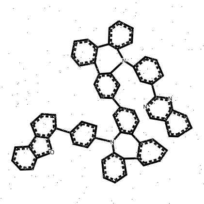 c1cc(-c2ncc3ccccc3n2)cc(N2c3ccccc3-c3ccccc3-c3ccc(-c4ccc5c(c4)N(c4ccc(-c6cccc7c6oc6ccccc67)cc4)c4ccccc4-c4ccccc4-5)cc32)c1